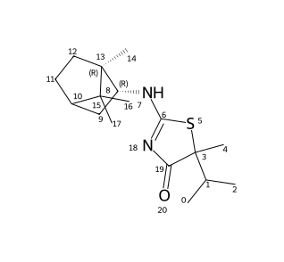 CC(C)C1(C)SC(N[C@@H]2CC3CC[C@]2(C)C3(C)C)=NC1=O